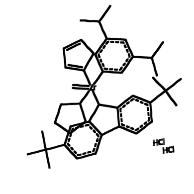 Cl.Cl.[CH2]=[Zr]([C]1=CC=CC1)([c]1cc(C(C)C)cc(C(C)C)c1)([CH]1CCCC1)[CH]1c2cc(C(C)(C)C)ccc2-c2ccc(C(C)(C)C)cc21